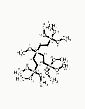 CO[Si](CC[Si](OC)(OC)OC)(CC[Si](OC)(OC)OC)CC[Si](OC)(OC)OC